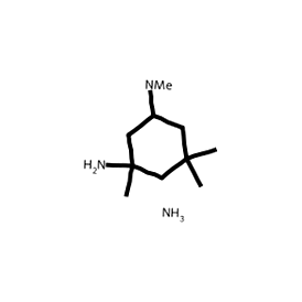 CNC1CC(C)(C)CC(C)(N)C1.N